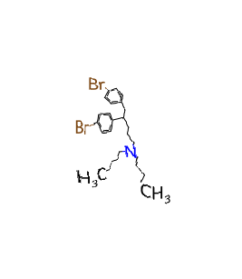 CCCCCN(CCCCC)CCCC(Cc1ccc(Br)cc1)c1ccc(Br)cc1